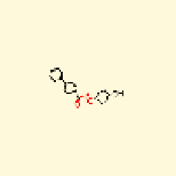 CC1CC[C](OOC(=O)c2ccc(-c3ccccc3)cc2)CC1